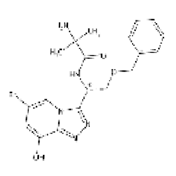 CC(C)(N)C(=O)N[C@H](COCc1ccccc1)c1nnc2c(O)cc(Br)cn12